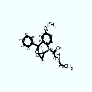 CCNCC(=O)N(c1ccc(OC)cc1C(=O)c1ccccc1)C1CC1